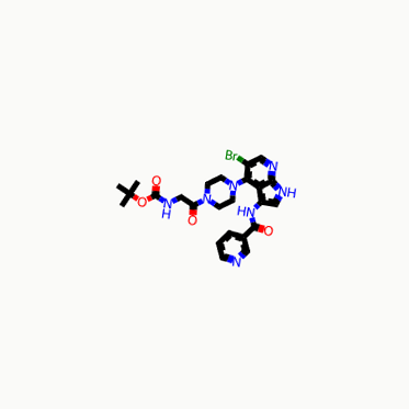 CC(C)(C)OC(=O)NCC(=O)N1CCN(c2c(Br)cnc3[nH]cc(NC(=O)c4cccnc4)c23)CC1